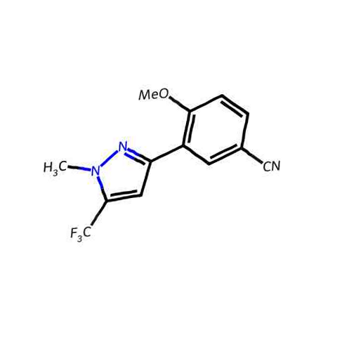 COc1ccc(C#N)cc1-c1cc(C(F)(F)F)n(C)n1